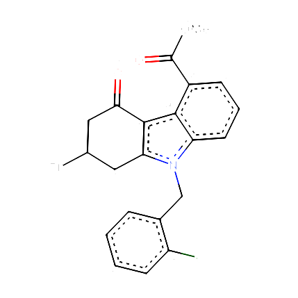 CCC1CC(=O)c2c(n(Cc3ccccc3Cl)c3cccc(C(=O)OC)c23)C1